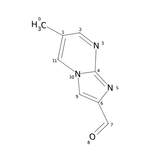 Cc1cnc2nc(C=O)cn2c1